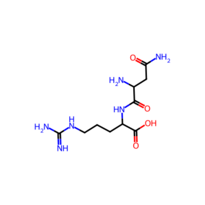 N=C(N)NCCCC(NC(=O)C(N)CC(N)=O)C(=O)O